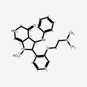 CN(C)CCOc1cnccc1C1C(Nc2ccccc2)C2C(=O)CNC=C2N1C(=O)O